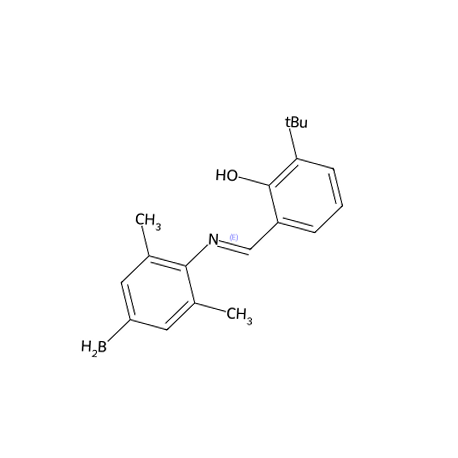 Bc1cc(C)c(/N=C/c2cccc(C(C)(C)C)c2O)c(C)c1